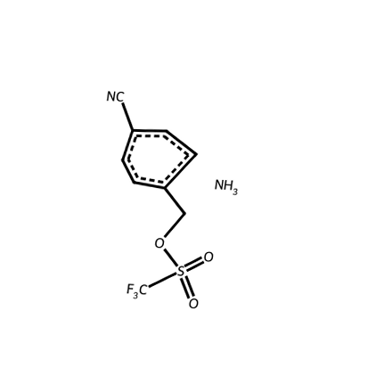 N.N#Cc1ccc(COS(=O)(=O)C(F)(F)F)cc1